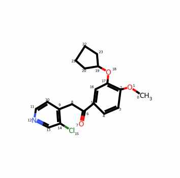 COc1ccc(C(=O)Cc2ccncc2Cl)cc1OC1CCCC1